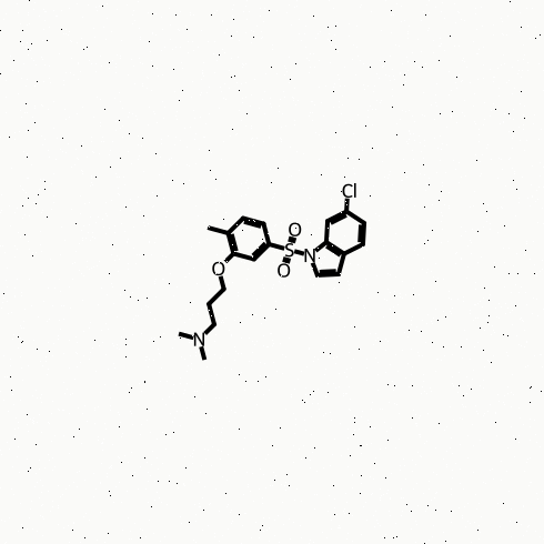 Cc1ccc(S(=O)(=O)n2ccc3ccc(Cl)cc32)cc1OCCCN(C)C